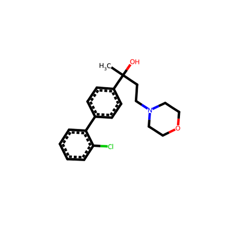 CC(O)(CCN1CCOCC1)c1ccc(-c2ccccc2Cl)cc1